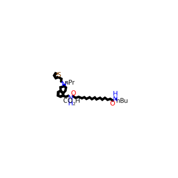 CCCCNC(=O)CCCCCCCCCCCCCCC(=O)NCC(C(=O)O)c1cccc2c1CCC(N(CCC)CCc1cccs1)C2